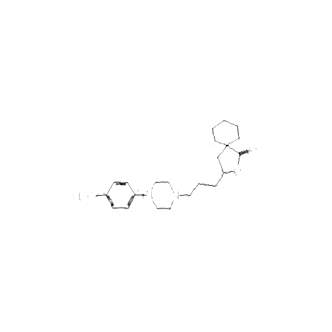 Cc1ccc(N2CCN(CCCC3CC4(CCCCC4)C(=O)O3)CC2)cc1